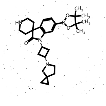 CC1(C)OB(c2ccc3c(c2)N([C@H]2C[C@@H](N4CCC5(CC5)C4)C2)C(=O)C32CCNCC2)OC1(C)C